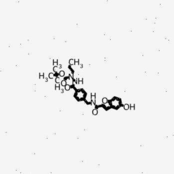 CCCN(NC(=O)c1ccc(CNC(=O)c2cc3cc(O)ccc3o2)cc1)C(=O)OC(C)(C)C